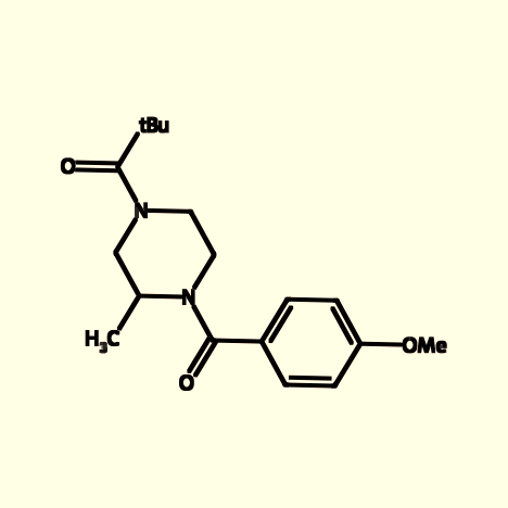 COc1ccc(C(=O)N2CCN(C(=O)C(C)(C)C)CC2C)cc1